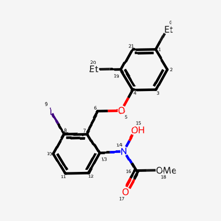 CCc1ccc(OCc2c(I)cccc2N(O)C(=O)OC)c(CC)c1